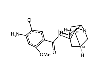 COc1cc(N)c(Cl)cc1C(=O)NC[C@H]1C2C[C@H]3C[C@@H]1CN2C3